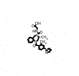 Cc1cc(-n2cccn2)ccc1C(=O)N1C[C@@H](C)N(C(=O)NCC(=O)O)Cc2ccccc21